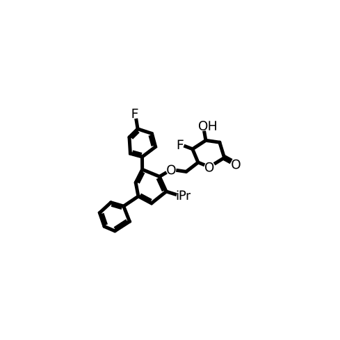 CC(C)c1cc(-c2ccccc2)cc(-c2ccc(F)cc2)c1OCC1OC(=O)CC(O)C1F